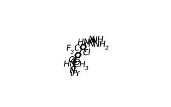 CC(C)N1CC(C)(NS(=O)(=O)c2ccc(-c3c(Cl)cc(Nc4n[nH]c(N)n4)cc3C(F)(F)F)cc2)C1